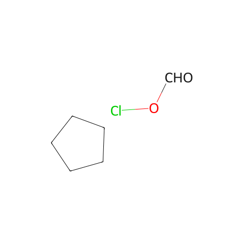 C1CCCC1.O=COCl